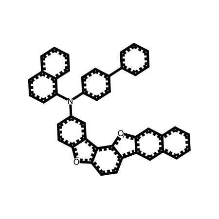 c1ccc(-c2ccc(N(c3ccc4oc5ccc6c7cc8ccccc8cc7oc6c5c4c3)c3cccc4ccccc34)cc2)cc1